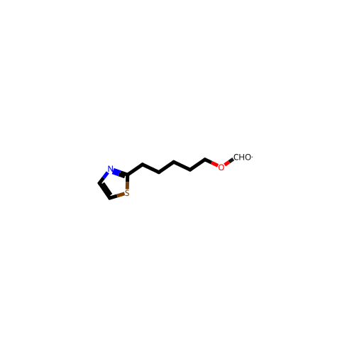 O=[C]OCCCCCc1nccs1